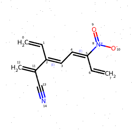 C=C/C(=C\C=C(/C=C)[N+](=O)[O-])C(=C)C#N